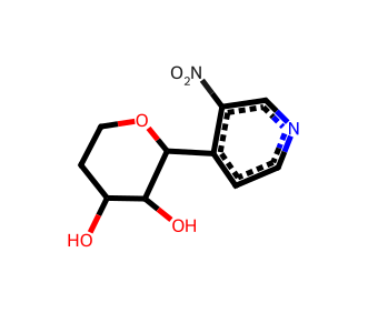 O=[N+]([O-])c1cnccc1C1OCCC(O)C1O